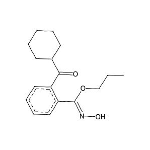 CCCOC(=NO)c1ccccc1C(=O)C1CCCCC1